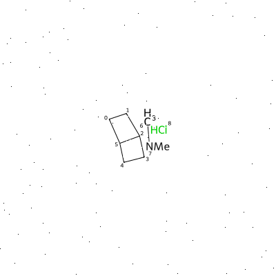 C1CC2CCC12.CNC.Cl